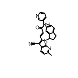 Cc1ccc2c(C#N)c(C=CC(=O)Nc3cccnc3)n(C3CCc4ccccc43)c2n1